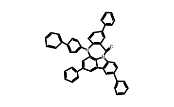 O=C1c2cc(-c3ccccc3)ccc2N(c2ccc(-c3ccccc3)cc2)c2cc(-c3ccccc3)cc3c4cc(-c5ccccc5)ccc4n1c23